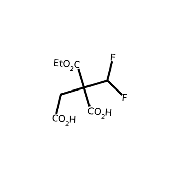 CCOC(=O)C(CC(=O)O)(C(=O)O)C(F)F